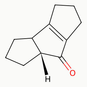 O=C1C2=C(CCC2)C2CCC[C@@H]12